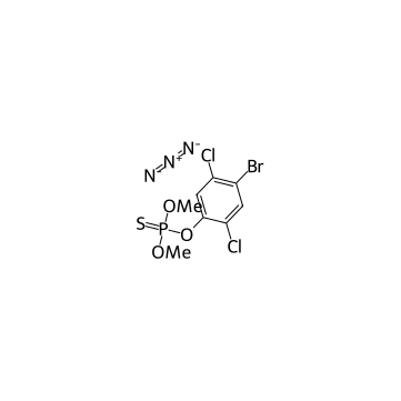 COP(=S)(OC)Oc1cc(Cl)c(Br)cc1Cl.[N-]=[N+]=[N-]